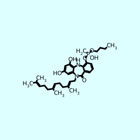 C=P(O)(OCCCC)Oc1cccc2c1Nc1c(O)cc(O)cc1N(C/C=C(\C)CC/C=C(\C)CCC=C(C)C)C2=O